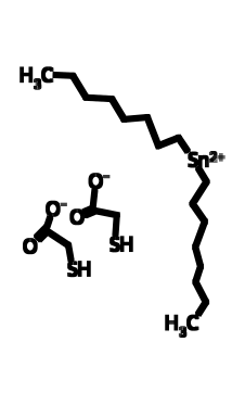 CCCCCCC[CH2][Sn+2][CH2]CCCCCCC.O=C([O-])CS.O=C([O-])CS